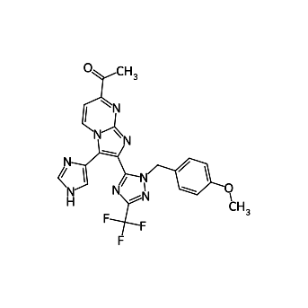 COc1ccc(Cn2nc(C(F)(F)F)nc2-c2nc3nc(C(C)=O)ccn3c2-c2c[nH]cn2)cc1